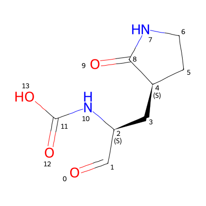 O=C[C@H](C[C@@H]1CCNC1=O)NC(=O)O